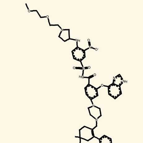 COCCOCCN1CCC(Nc2ccc(S(=O)(=O)NC(=O)c3ccc(N4CCN(CC5=C(c6ccc(Cl)cc6)CC(C)(C)CC5)CC4)cc3Oc3cccc4[nH]cnc34)cc2[N+](=O)[O-])C1